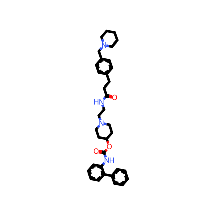 O=C(CCc1ccc(CN2CCCCC2)cc1)NCCN1CCC(OC(=O)Nc2ccccc2-c2ccccc2)CC1